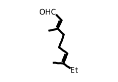 CCC(C)=CCC/C(C)=C/C=O